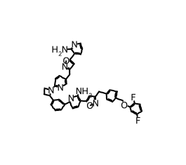 Nc1ncccc1-c1cc(Cc2ccc(N3CCC3c3cccc(-c4ccc(-c5cc(Cc6ccc(COc7cc(F)ccc7F)cc6)no5)c(N)n4)c3)nc2)no1